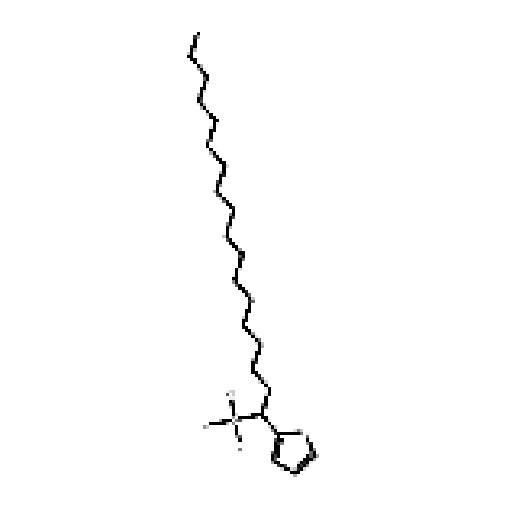 CCCCCCCCCCCCCCCCCC(c1cccs1)[Si](Cl)(Cl)Cl